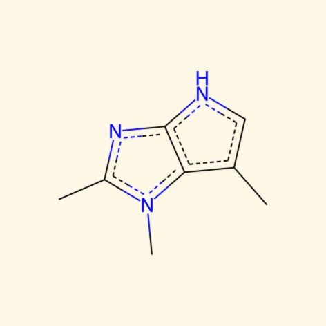 Cc1c[nH]c2nc(C)n(C)c12